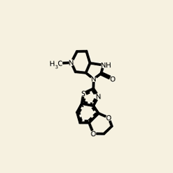 CN1CCC2NC(=O)N(c3nc4c5c(ccc4s3)OCCO5)C2C1